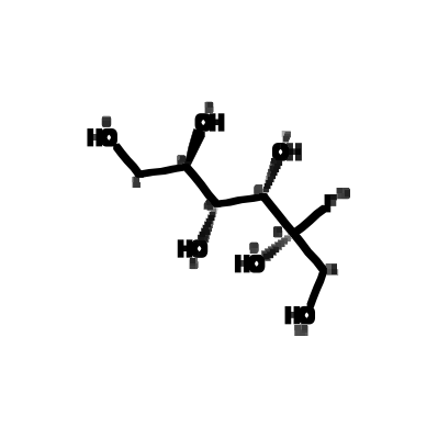 OC[C@@H](O)[C@@H](O)[C@H](O)[C@@](O)(F)CO